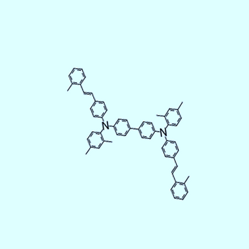 Cc1ccc(N(c2ccc(/C=C/c3ccccc3C)cc2)c2ccc(-c3ccc(N(c4ccc(/C=C/c5ccccc5C)cc4)c4ccc(C)cc4C)cc3)cc2)c(C)c1